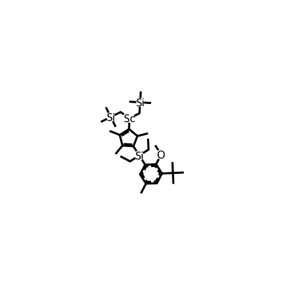 CC[Si](CC)(C1=C(C)C(C)=[C]([Sc]([CH2][Si](C)(C)C)[CH2][Si](C)(C)C)C1C)c1cc(C)cc(C(C)(C)C)c1OC